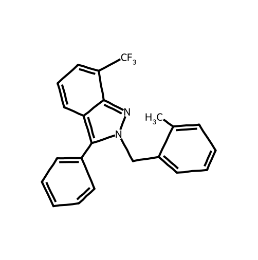 Cc1ccccc1Cn1nc2c(C(F)(F)F)cccc2c1-c1ccccc1